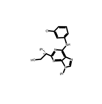 CC(C)[C@@H](CO)c1nc(Nc2cccc(Cl)c2)c2ncn(C(C)C)c2n1